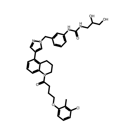 Cc1c(Cl)cccc1OCCCC(=O)N1CCCc2c(-c3cnn(Cc4cccc(NC(=O)NCC(O)CO)c4)c3)cccc21